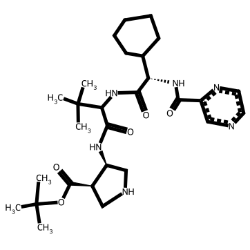 CC(C)(C)OC(=O)[C@@H]1CNC[C@@H]1NC(=O)C(NC(=O)[C@@H](NC(=O)c1cnccn1)C1CCCCC1)C(C)(C)C